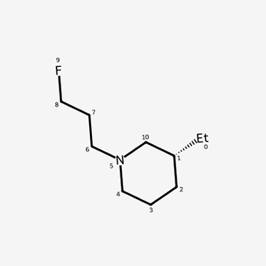 CC[C@@H]1CCCN(CCCF)C1